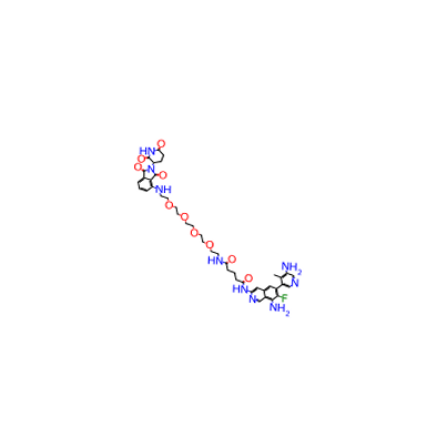 Cc1c(N)cncc1-c1cc2cc(NC(=O)CCCC(=O)NCCOCCOCCOCCOCCNc3cccc4c3C(=O)N(C3CCC(=O)NC3=O)C4=O)ncc2c(N)c1F